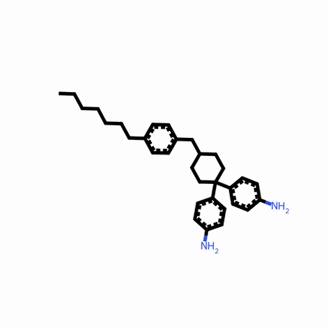 CCCCCCCc1ccc(CC2CCC(c3ccc(N)cc3)(c3ccc(N)cc3)CC2)cc1